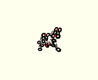 c1ccc(-c2cc(-c3cccnc3-c3ccc4c(c3)C3(c5ccccc5O4)c4ccccc4-c4c(-c5cc(-c6ccc(-c7nc(-c8ccccc8)cc(-c8ccccc8)n7)s6)cc6c5Oc5ccccc5C65c6ccccc6-c6ccccc65)cccc43)nc(-c3ccccc3)n2)cc1